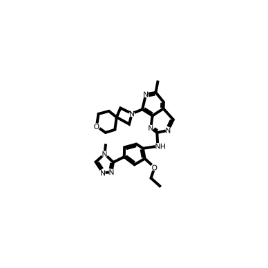 CCOc1cc(-c2nncn2C)ccc1Nc1ncc2cc(C)nc(N3CC4(CCOCC4)C3)c2n1